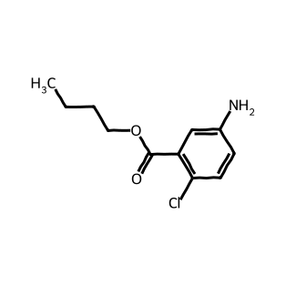 CCCCOC(=O)c1cc(N)ccc1Cl